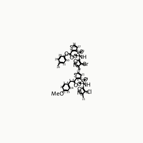 COc1ccc(CC(=O)c2sccc2S(=O)(=O)Nc2onc(C)c2Cl)cc1.Cc1ccc(OC(=O)c2sccc2S(=O)(=O)Nc2onc(C)c2Br)cc1